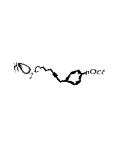 CCCCCCCCc1ccc(CC#CCCCC(=O)O)cc1